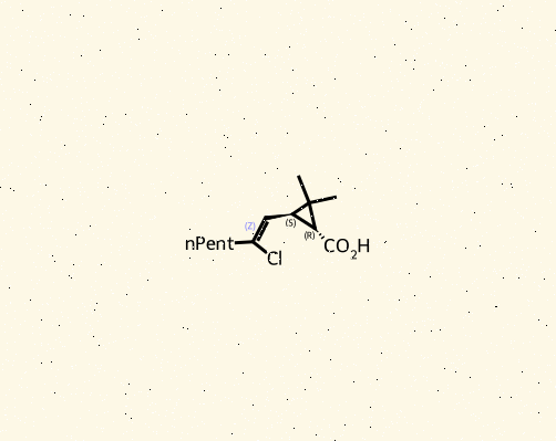 CCCCC/C(Cl)=C/[C@@H]1[C@@H](C(=O)O)C1(C)C